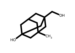 CC12C[C]3CC(O)(C1)CC(CO)(C3)C2